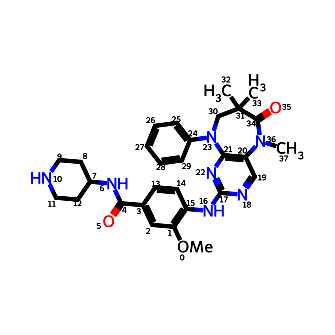 COc1cc(C(=O)NC2CCNCC2)ccc1Nc1ncc2c(n1)N(c1ccccc1)CC(C)(C)C(=O)N2C